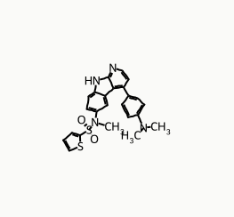 CN(C)c1ccc(-c2ccnc3[nH]c4ccc(N(C)S(=O)(=O)c5cccs5)cc4c23)cc1